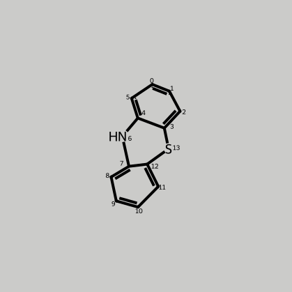 [c]1[c]cc2c([c]1)Nc1ccccc1S2